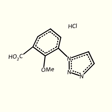 COc1c(C(=O)O)cccc1-n1ccnn1.Cl